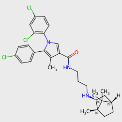 Cc1c(C(=O)NCCCN[C@H]2C[C@@H]3CC[C@@]2(C)C3(C)C)cn(-c2ccc(Cl)cc2Cl)c1-c1ccc(Cl)cc1